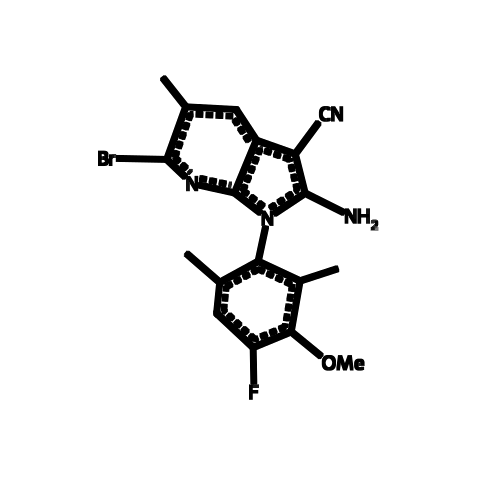 COc1c(F)cc(C)c(-n2c(N)c(C#N)c3cc(C)c(Br)nc32)c1C